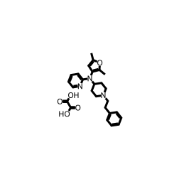 Cc1cc(N(c2ccccn2)C2CCN(CCc3ccccc3)CC2)c(C)o1.O=C(O)C(=O)O